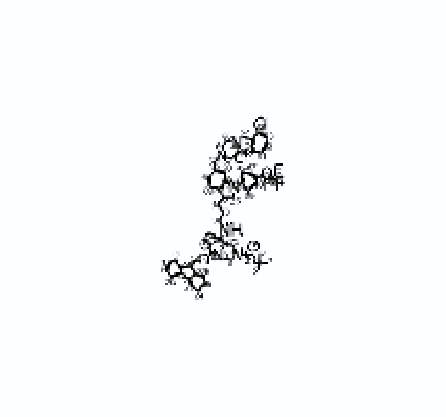 CC(C)(C)OC(=O)N1CCN(C(=O)OCC2c3ccccc3-c3ccccc32)C(C(=O)NCCCc2cn(-c3ccc(OC(F)(F)F)cc3)c3cc(CN4CCN(Cc5c(Cl)cccc5Cl)CC4)ccc23)C1